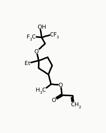 C=CC(=O)OC(C)C1CCC(CC)(OCC(O)(C(F)(F)F)C(F)(F)F)C1